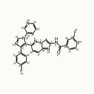 O=C(Nc1cn2nc(-c3c(-c4ccc(F)cc4)ncn3-c3cccnc3)ccc2n1)c1ccnc(F)c1